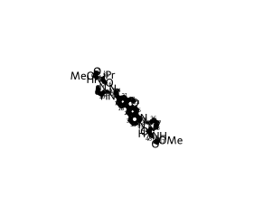 COC(=O)N[C@H](C(=O)N1CCC[C@H]1c1ncc(-c2ccc3c(c2)COc2cc4c(cc2-3)CCc2[nH]c([C@@H]3CCCN3C(=O)[C@@H](C)NC(=O)OC)nc2-4)[nH]1)C(C)C